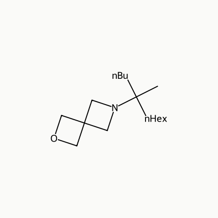 CCCCCCC(C)(CCCC)N1CC2(COC2)C1